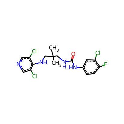 CC(C)(CNC(=O)Nc1ccc(F)c(Cl)c1)CNc1c(Cl)cncc1Cl